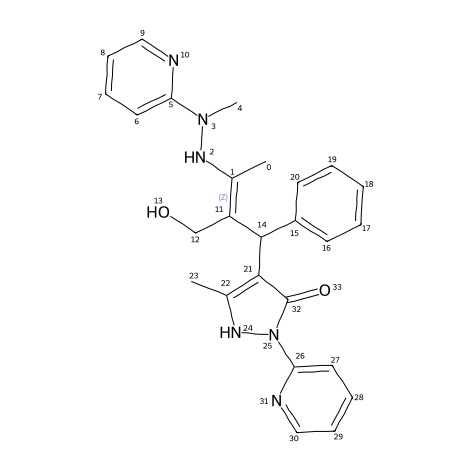 C/C(NN(C)c1ccccn1)=C(/CO)C(c1ccccc1)c1c(C)[nH]n(-c2ccccn2)c1=O